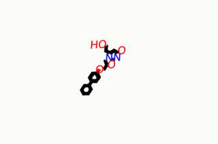 O=c1cc(CCO)n2c(n1)OC(COc1ccc(C3CCCCC3)cc1)C2